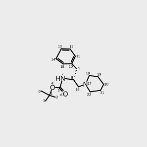 CC(C)(C)OC(=O)N[C@H](Cc1ccccc1)CN1CCCCC1